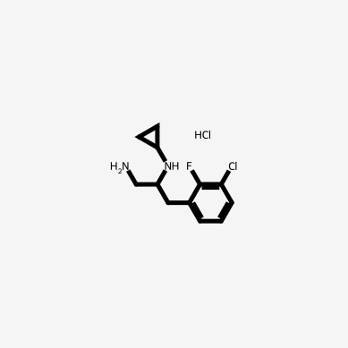 Cl.NCC(Cc1cccc(Cl)c1F)NC1CC1